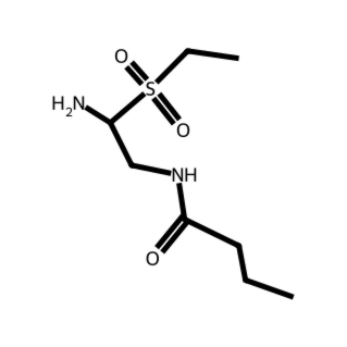 CCCC(=O)NCC(N)S(=O)(=O)CC